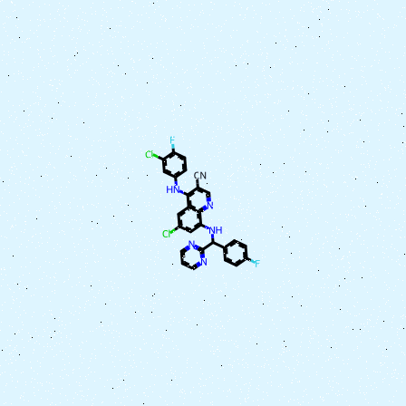 N#Cc1cnc2c(NC(c3ccc(F)cc3)c3ncccn3)cc(Cl)cc2c1Nc1ccc(F)c(Cl)c1